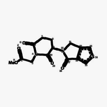 COC(=O)CN1C(=O)CCC(N2Cc3cscc3C2=O)C1=O